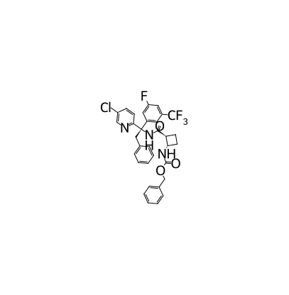 O=C(N[C@H]1CC[C@@H]1C(=O)N[C@@](Cc1ccccc1)(c1cc(F)cc(C(F)(F)F)c1)c1ccc(Cl)cn1)OCc1ccccc1